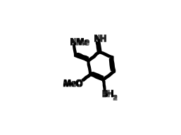 BC1=C(OC)/C(=C/NC)C(=N)C=C1